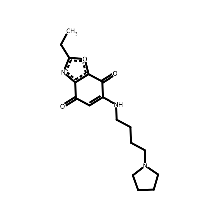 CCc1nc2c(o1)C(=O)C(NCCCCN1CCCC1)=CC2=O